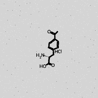 CC(=O)c1ccc(C[C@@H](N)C(=O)O)cc1.Cl